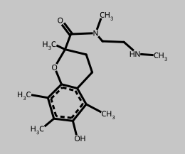 CNCCN(C)C(=O)C1(C)CCc2c(C)c(O)c(C)c(C)c2O1